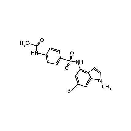 CC(=O)Nc1ccc(S(=O)(=O)Nc2cc(Br)cc3c2ccn3C)cc1